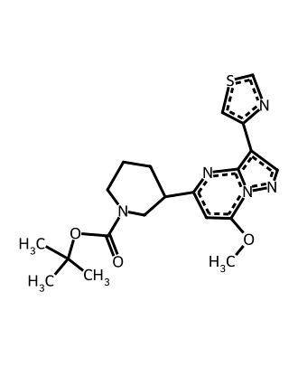 COc1cc(C2CCCN(C(=O)OC(C)(C)C)C2)nc2c(-c3cscn3)cnn12